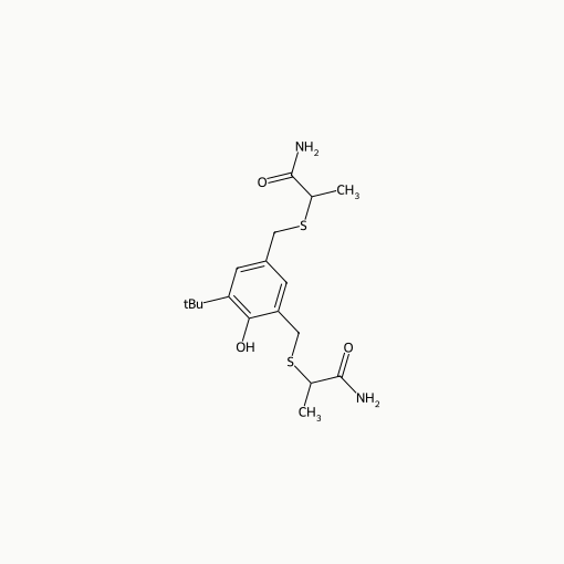 CC(SCc1cc(CSC(C)C(N)=O)c(O)c(C(C)(C)C)c1)C(N)=O